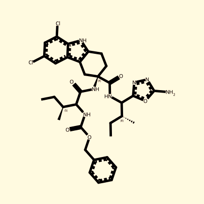 CC[C@@H](C)C(NC(=O)[C@@]1(NC(=O)C(NC(=O)OCc2ccccc2)[C@@H](C)CC)CCc2[nH]c3c(Cl)cc(Cl)cc3c2C1)c1nnc(N)o1